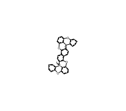 S=P12c3ccccc3Oc3cccc(c31)Oc1c2ccc2c3c(ccc12)P1(=S)c2ccccc2Oc2cccc(c21)O3